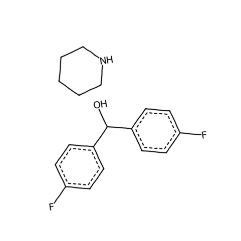 C1CCNCC1.OC(c1ccc(F)cc1)c1ccc(F)cc1